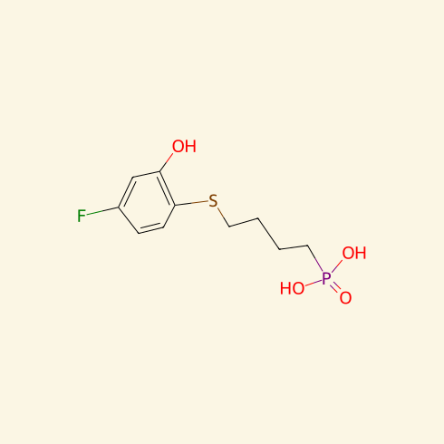 O=P(O)(O)CCCCSc1ccc(F)cc1O